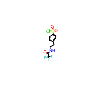 O=C(NCCc1ccc(S(=O)(=O)Cl)cc1)C(F)(F)F